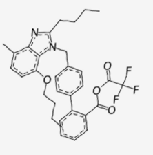 CCCCOc1ccc(C)c2nc(CCCC)n(Cc3ccc(-c4ccccc4C(=O)OC(=O)C(F)(F)F)cc3)c12